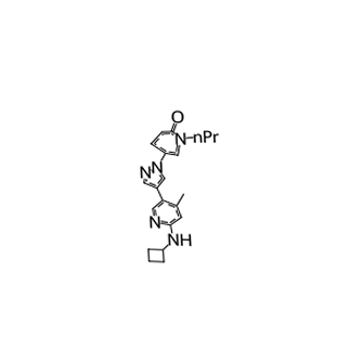 CCCn1cc(-n2cc(-c3cnc(NC4CCC4)cc3C)cn2)ccc1=O